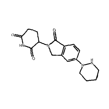 O=C1CCC(N2Cc3cc(N4CCCCN4)ccc3C2=O)C(=O)N1